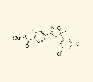 Cc1cc(C2=NOC(C)(c3cc(Cl)cc(Cl)c3)C2)ccc1C(=O)OC(C)(C)C